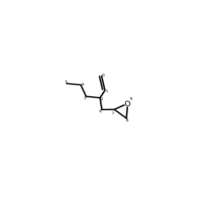 C=CC(CCC)CC1CO1